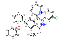 O=C(O)CC(NC(=O)c1cc(Cl)ccc1N1C=CC=CC=C1)c1ccc(-c2ccccc2Oc2ccccc2)cc1